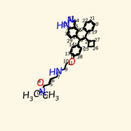 CN(C)C(=O)C=CCNCCOc1ccc(C(=C(c2ccccc2)C2CCC2)c2ccc3[nH]ncc3c2)cc1